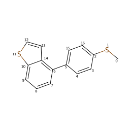 CSc1ccc(-c2cccc3s[c]cc23)cc1